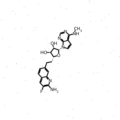 CNc1ncnc2c1ccn2[C@@H]1O[C@H](CCc2ccc3cc(F)c(N)nc3c2)[C@@H](O)[C@H]1O